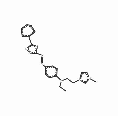 CCN(CCn1cc[n+](C)c1)c1ccc(/N=N/c2nnc(-c3ccccc3)s2)cc1